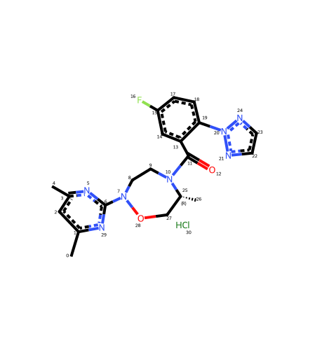 Cc1cc(C)nc(N2CCN(C(=O)c3cc(F)ccc3-n3nccn3)[C@H](C)CO2)n1.Cl